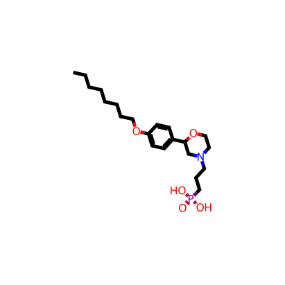 CCCCCCCCOc1ccc(C2CN(CCCP(=O)(O)O)CCO2)cc1